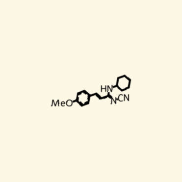 COc1ccc(C=CC(=NC#N)NC2CCCCC2)cc1